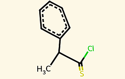 CC(C(=S)Cl)c1ccccc1